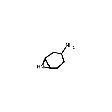 NC1CCC2NC2C1